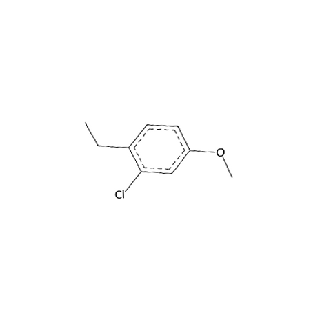 CCc1ccc(OC)cc1Cl